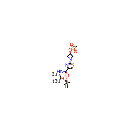 CC[C@H](C)[C@H](NC(=O)c1csc(N2CC(OS(C)(=O)=O)C2)n1)C(O[SiH](C)C)C(C)(C)C